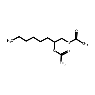 CCCCCCC(COC(C)=O)OC(C)=O